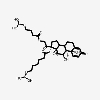 C[C@]12C=CC(=O)C=C1CCC1C3CC[C@](OC(=O)CCCCCON(O)O)(C(=O)COC(=O)CCCON(O)O)[C@@]3(C)C[C@H](O)[C@@H]12